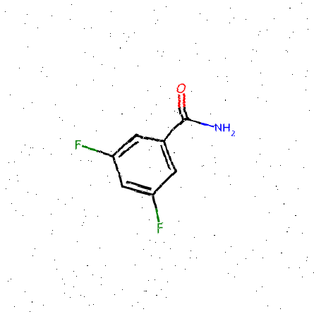 NC(=O)c1cc(F)cc(F)c1